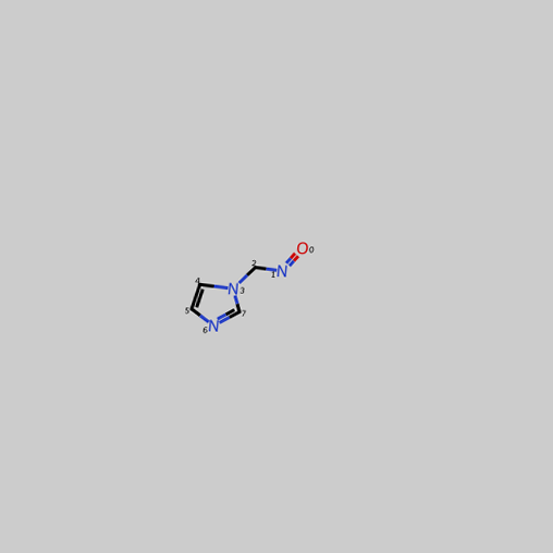 O=NCn1ccnc1